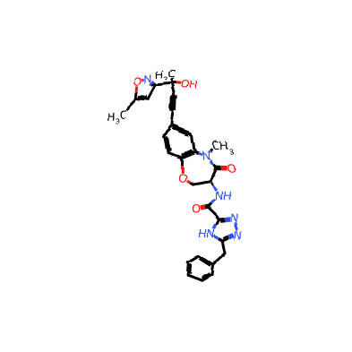 Cc1cc([C@](C)(O)C#Cc2ccc3c(c2)N(C)C(=O)[C@@H](NC(=O)c2nnc(Cc4ccccc4)[nH]2)CO3)no1